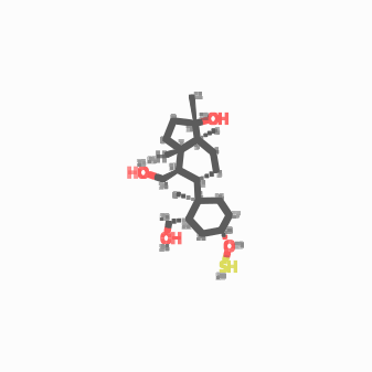 C[C@]1([C@H]2CC[C@@]3(C)[C@@H](CC[C@]3(C)O)[C@@H]2CO)CC[C@H](OS)C[C@@H]1CO